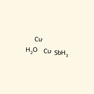 O.[Cu].[Cu].[SbH3]